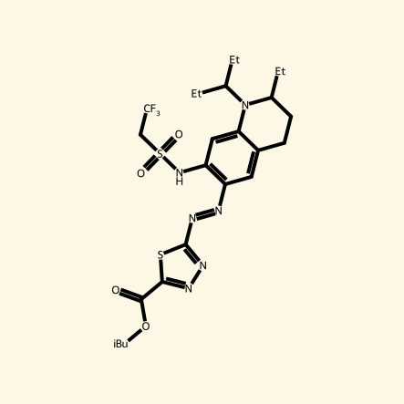 CCC(C)OC(=O)c1nnc(N=Nc2cc3c(cc2NS(=O)(=O)CC(F)(F)F)N(C(CC)CC)C(CC)CC3)s1